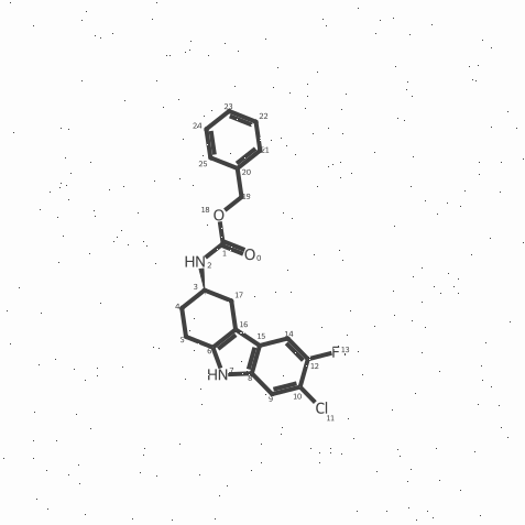 O=C(N[C@@H]1CCc2[nH]c3cc(Cl)c(F)cc3c2C1)OCc1ccccc1